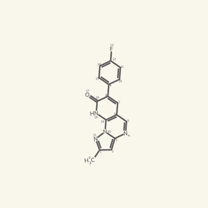 Cc1cc2ncc3cc(-c4ccc(F)cc4)c(=O)[nH]c3n2n1